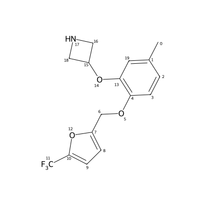 Cc1ccc(OCc2ccc(C(F)(F)F)o2)c(OC2CNC2)c1